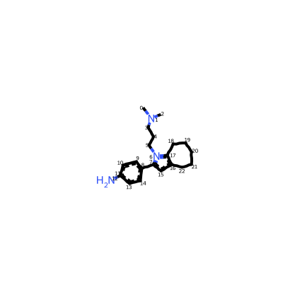 CN(C)CCCn1c(-c2ccc(N)cc2)cc2c1CCCCC2